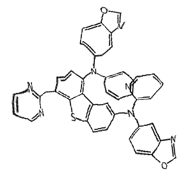 c1ccc(N(c2ccc3ocnc3c2)c2ccc(-c3ncccn3)c3sc4ccc(N(c5ccc6ocnc6c5)c5ccccn5)cc4c23)cc1